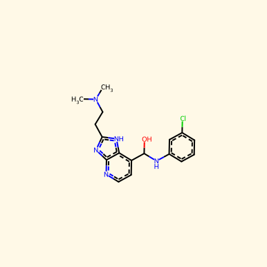 CN(C)CCc1nc2nccc(C(O)Nc3cccc(Cl)c3)c2[nH]1